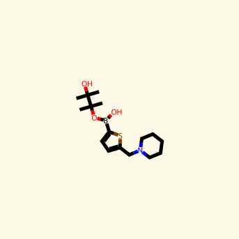 CC(C)(O)C(C)(C)OB(O)c1ccc(CN2CCCCC2)s1